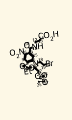 CCS(=O)(=O)c1cc([N+](=O)[O-])c(C(=O)NCCC(=O)O)cc1N(CCBr)CCOS(C)(=O)=O